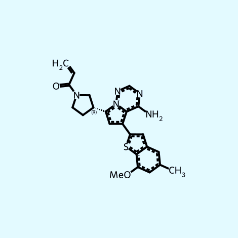 C=CC(=O)N1CC[C@@H](c2cc(-c3cc4cc(C)cc(OC)c4s3)c3c(N)ncnn23)C1